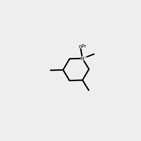 CCC[N+]1(C)CC(C)CC(C)C1